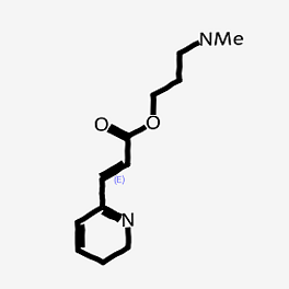 CNCCCOC(=O)/C=C/C1=NCCC=C1